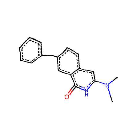 CN(C)c1cc2ccc(-c3ccccc3)cc2c(=O)[nH]1